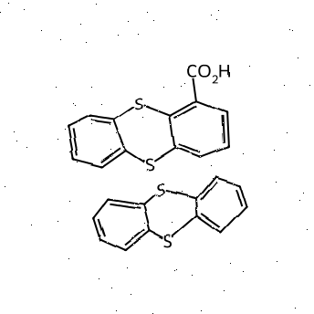 O=C(O)c1cccc2c1Sc1ccccc1S2.c1ccc2c(c1)Sc1ccccc1S2